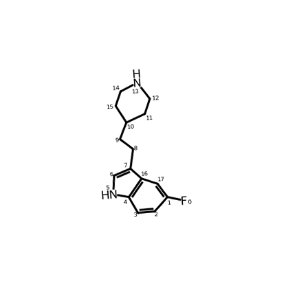 Fc1ccc2[nH]cc(CCC3CCNCC3)c2c1